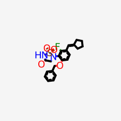 O=C1CN(c2c(OCc3ccccc3)ccc(C=C3CCCC3)c2F)S(=O)(=O)N1